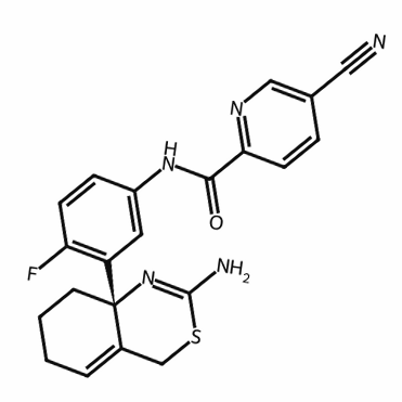 N#Cc1ccc(C(=O)Nc2ccc(F)c([C@]34CCCC=C3CSC(N)=N4)c2)nc1